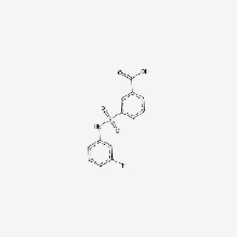 O=C(O)c1cccc(S(=O)(=O)Nc2cccc(F)c2)c1